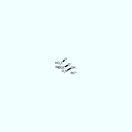 O=C([O-])O.O=C([O-])[O-].O=[N+]([O-])O.[Na+].[Pb+2]